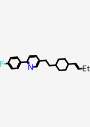 CCC=CC1CCC(CCc2ccc(-c3ccc(F)cc3)nc2)CC1